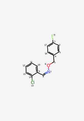 Fc1ccc(CO/N=[C]\c2ccccc2Cl)cc1